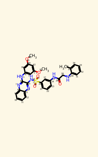 COc1cc(Nc2nc3ccccc3nc2NS(=O)(=O)c2cccc(NC(=O)CNc3ccccc3C)c2)cc(OC)c1